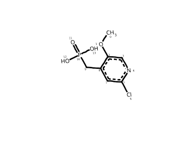 COc1cnc(Cl)cc1CP(=O)(O)O